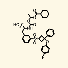 CC(OC(=O)NC(Cc1cccc(S(=O)(=O)N2CC(Oc3ccc(F)cc3)(c3ccccc3)C2)c1)C(=O)O)OC(=O)C1CCCCC1